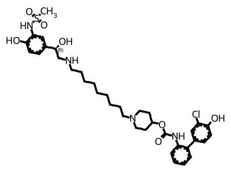 CS(=O)(=O)Nc1cc([C@@H](O)CNCCCCCCCCCN2CCC(OC(=O)Nc3ccccc3-c3ccc(O)c(Cl)c3)CC2)ccc1O